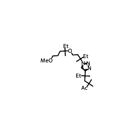 CCC(C)(CCCOC)OCCC(C)(CC)n1cc(C(C)(CC)CC(C)(C)C(C)=O)nn1